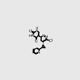 O=c1[nH]cc(-c2cc([C@H]3CC3c3ccccn3)c(Cl)nn2)c(=O)[nH]1